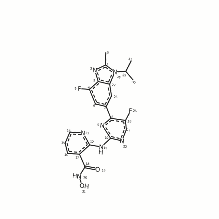 Cc1nc2c(F)cc(-c3nc(Nc4ncccc4C(=O)NO)ncc3F)cc2n1C(C)C